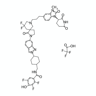 Cn1c(=O)n([C@@H]2CCC(=O)NC2=O)c2ccc(CCCN3CC(F)(F)CC4(CCN(c5ccc6cn(C7CCC(CNC(=O)c8cc(F)c(O)c(F)c8F)CC7)nc6c5)C4=O)C3)cc21.O=C(O)C(F)(F)F